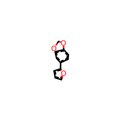 c1coc(-c2ccc3c(c2)OCO3)c1